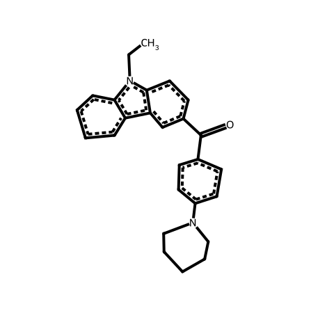 CCn1c2ccccc2c2cc(C(=O)c3ccc(N4CCCCC4)cc3)ccc21